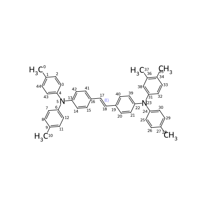 Cc1ccc(N(c2ccc(C)cc2)c2ccc(/C=C/c3ccc(N(c4ccc(C)cc4)c4ccc(C)c(C)c4)cc3)cc2)cc1